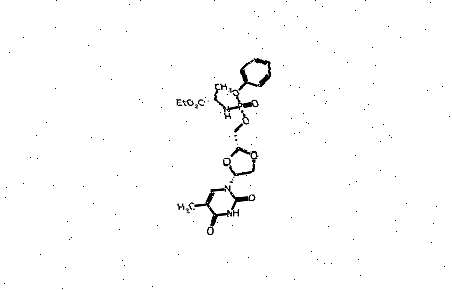 CCOC(=O)[C@H](C)NP(=O)(OC[C@@H]1OC[C@H](n2cc(C)c(=O)[nH]c2=O)O1)Oc1ccccc1